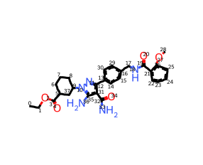 CCOC(=O)C1CCCC(n2nc(-c3ccc(CNC(=O)c4ccccc4OC)cc3)c(C(N)=O)c2N)C1